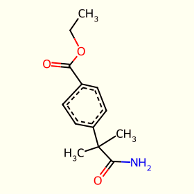 CCOC(=O)c1ccc(C(C)(C)C(N)=O)cc1